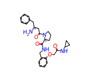 N[C@@H](CC(=O)N1CCC[C@H]1C(=O)NCc1ccccc1OCC(=O)NC1CC1)Cc1ccccc1